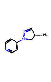 CC1C=NN(c2ccncc2)C1